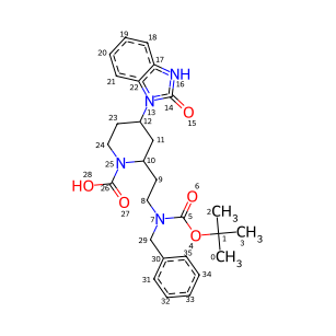 CC(C)(C)OC(=O)N(CCC1CC(n2c(=O)[nH]c3ccccc32)CCN1C(=O)O)Cc1ccccc1